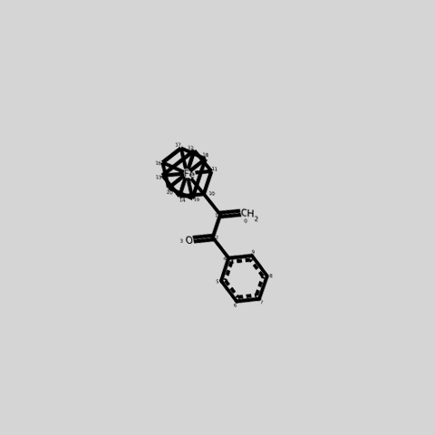 C=C(C(=O)c1ccccc1)[C]12[CH]3[CH]4[CH]5[CH]1[Fe]45321678[CH]2[CH]1[CH]6[CH]7[CH]28